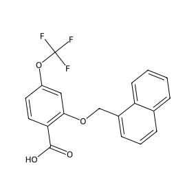 O=C(O)c1ccc(OC(F)(F)F)cc1OCc1cccc2ccccc12